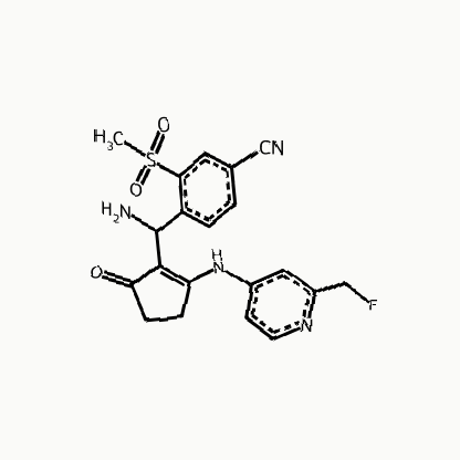 CS(=O)(=O)c1cc(C#N)ccc1C(N)C1=C(Nc2ccnc(CF)c2)CCC1=O